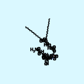 CCCCCCCCCCCCCCCCCC(=O)OCC(COPOCCNC(=O)C(C)(CC)OCCC(C)(C)N/C(=C\NCC(=O)NC(Cc1ccccc1)C(=O)NC(C(=O)NCCC(=O)NCC(N)=O)C(C)C)C(=O)C(C)=O)OC(=O)CCCCCCCCCCCCCCCCC